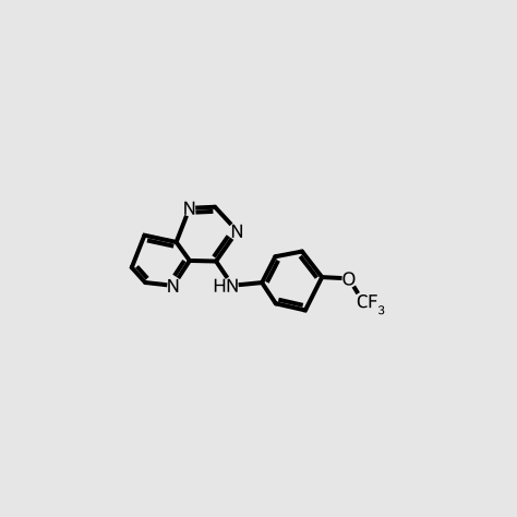 FC(F)(F)Oc1ccc(Nc2ncnc3cccnc23)cc1